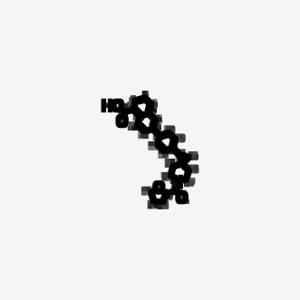 O=C(O)c1cccc2cc(-c3ccc(C4CC45CCN(C(=O)[C@H]4CCCO4)CC5)cc3)ccc12